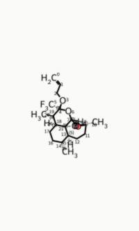 C=CCO[C@@]1(C(F)(F)F)O[C@@H]2O[C@]3(C)CC[C@H]4[C@H](C)CC[C@@H]([C@H]1C)[C@@]24OO3